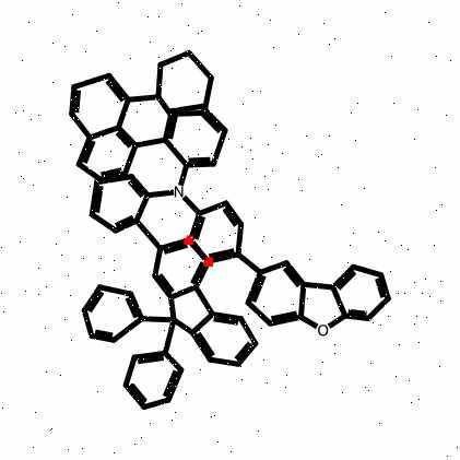 c1ccc(C2(c3ccccc3)c3ccccc3-c3ccc(-c4ccccc4N(c4ccc(-c5ccc6oc7ccccc7c6c5)cc4)c4ccccc4-c4cccc5cccc(C6CCCCC6)c45)cc32)cc1